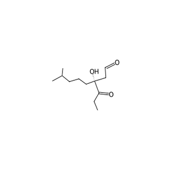 CCC(=O)[C@](O)(CC=O)CCCC(C)C